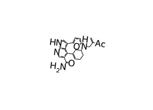 C=C(CNC1CCC=C(c2c(C(N)=O)cnc3[nH]cc(-c4ccco4)c23)C1)C(C)=O